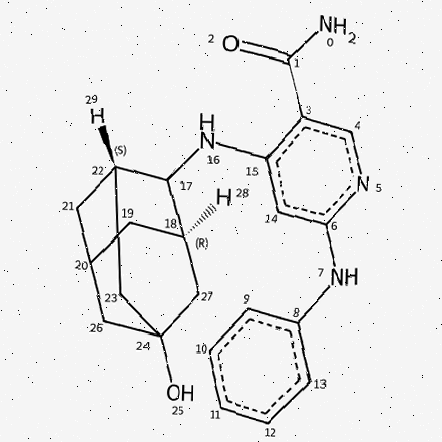 NC(=O)c1cnc(Nc2ccccc2)cc1NC1[C@@H]2CC3C[C@H]1CC(O)(C3)C2